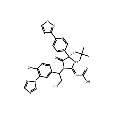 CC(C)(C)C[C@]1(c2ccc(-c3ncon3)cc2)NC(=NC(=O)O)N(C(CO)c2ccc(Cl)c(-n3cncn3)c2)C1=O